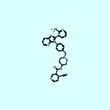 N#Cc1ccncc1C(=O)NC1CCN(Cc2ccc(-n3c(-c4cccnc4N)nc4cccnc43)cc2)CC1